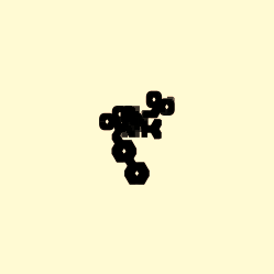 COC(=O)CCN(CC(C)C)C(=O)N[C@@H](Cc1ccc(-c2ccccc2)cc1)C(=O)O